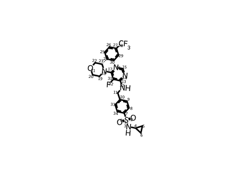 O=S(=O)(NC1CC1)c1ccc(CNc2ncnc(N3CCOC[C@@H]3c3ccc(C(F)(F)F)cc3)c2F)cc1